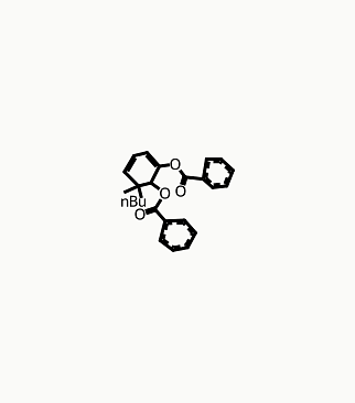 CCCCC1(C)C=CC=C(OC(=O)c2ccccc2)C1OC(=O)c1ccccc1